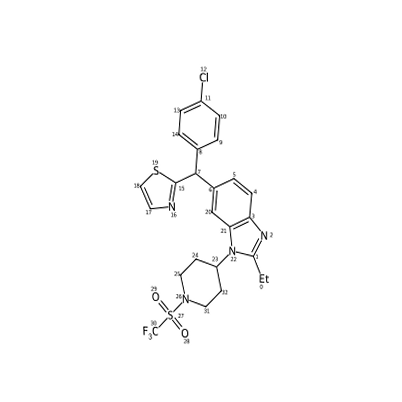 CCc1nc2ccc(C(c3ccc(Cl)cc3)c3nccs3)cc2n1C1CCN(S(=O)(=O)C(F)(F)F)CC1